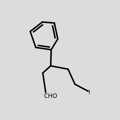 O=CCC(CCI)c1ccccc1